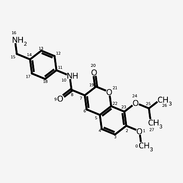 COc1ccc2cc(C(=O)Nc3ccc(CN)cc3)c(=O)oc2c1OC(C)C